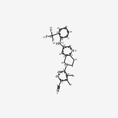 Cc1c(C#N)nnc(N2CCc3ncc(Nc4ccccc4C(F)(F)F)cc3C2)c1C